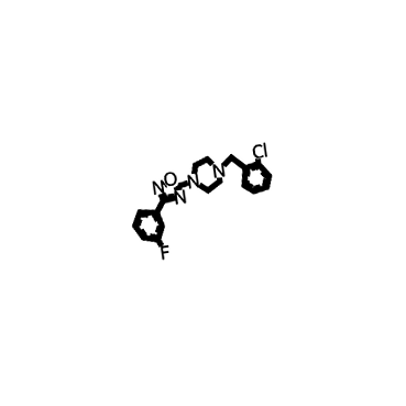 Fc1cccc(-c2noc(N3CCN(Cc4ccccc4Cl)CC3)n2)c1